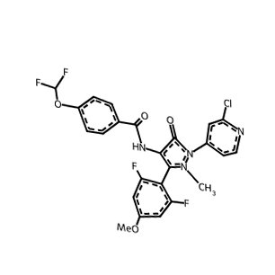 COc1cc(F)c(-c2c(NC(=O)c3ccc(OC(F)F)cc3)c(=O)n(-c3ccnc(Cl)c3)n2C)c(F)c1